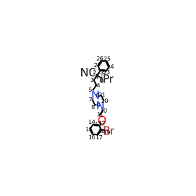 CC(C)C(C#N)(CCCN1CCN(CCOc2ccccc2Br)CC1)c1ccccc1